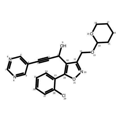 OC(C#Cc1cncnc1)c1c(COC2CCCCO2)noc1-c1ccccc1Cl